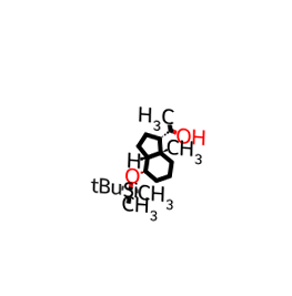 CC(O)[C@H]1CC[C@H]2[C@@H](O[Si](C)(C)C(C)(C)C)CCC[C@]12C